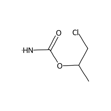 CC(CCl)OC([NH])=O